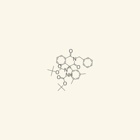 Cc1cc(C)cc([C@@]2(N(NC(=O)OC(C)(C)C)C(=O)OC(C)(C)C)C(=O)N(Cc3ccccc3)C(=O)c3ccccc32)c1